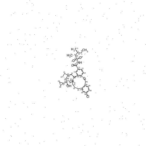 CC[C@H](C)[C@@H](C)S(=O)(=O)NC(=O)c1ccc2c(c1)N(C[C@@H]1CC[C@H]1[C@@](C)(O)C1CC1)CCCCc1cc(Cl)ccc1CO2